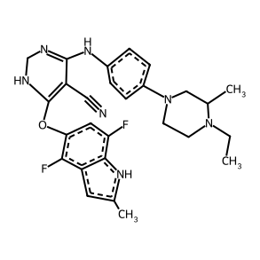 CCN1CCN(c2ccc(NC3=NCNC(Oc4cc(F)c5[nH]c(C)cc5c4F)=C3C#N)cc2)CC1C